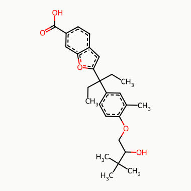 CCC(CC)(c1ccc(OCC(O)C(C)(C)C)c(C)c1)c1cc2ccc(C(=O)O)cc2o1